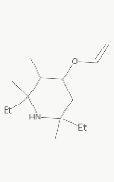 C=COC1CC(C)(CC)NC(C)(CC)C1C